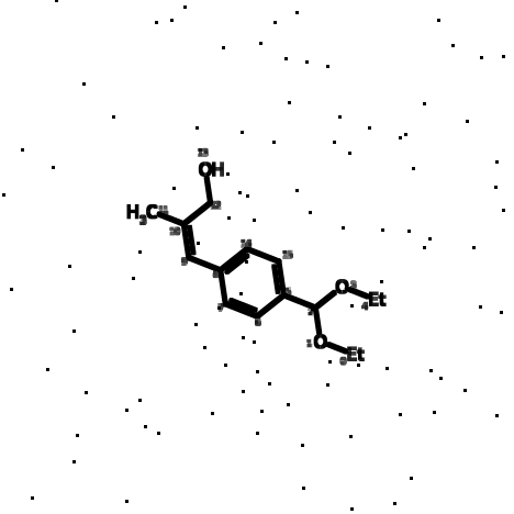 CCOC(OCC)c1ccc(C=C(C)CO)cc1